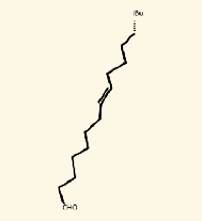 CC[C@@H](C)CCCCC=CCCCCCCC=O